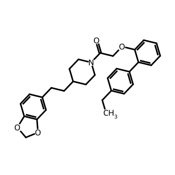 CCc1ccc(-c2ccccc2OCC(=O)N2CCC(CCc3ccc4c(c3)OCO4)CC2)cc1